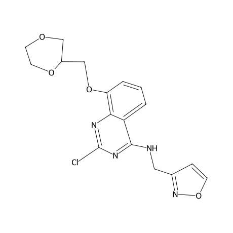 Clc1nc(NCc2ccon2)c2cccc(OCC3COCCO3)c2n1